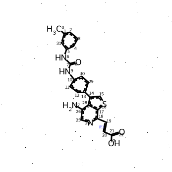 Cc1cccc(NC(=O)Nc2ccc(-c3csc4c(/C=C/C(=O)O)ncc(N)c34)cc2)c1